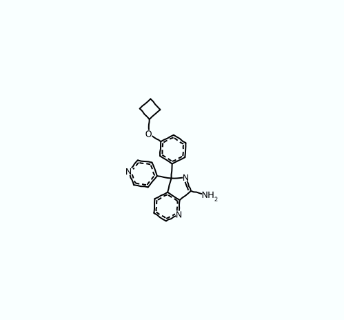 NC1=NC(c2ccncc2)(c2cccc(OC3CCC3)c2)c2cccnc21